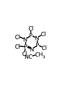 CC#N.ClN1P(Cl)N=P(Cl)(Cl)N(Cl)P1Cl